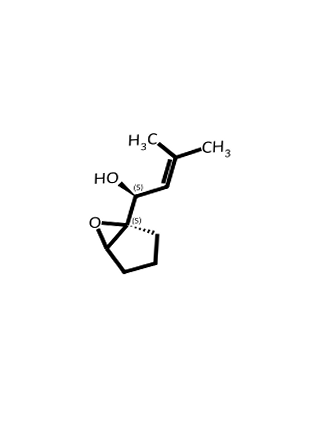 CC(C)=C[C@H](O)[C@@]12CCCC1O2